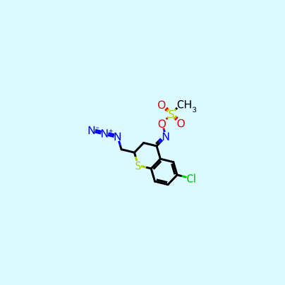 CS(=O)(=O)O/N=C1\CC(CN=[N+]=[N-])Sc2ccc(Cl)cc21